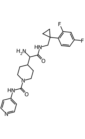 NC(C(=O)NCC1(c2ccc(F)cc2F)CC1)C1CCN(C(=O)Nc2ccncc2)CC1